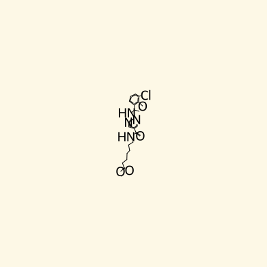 COC(=O)CCCCCCNC(=O)c1cnc(NC2COc3c(Cl)cccc32)nc1